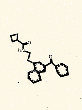 O=C(c1ccccc1)c1cc(CCNC(=O)C2CCC2)c2ccccc2c1